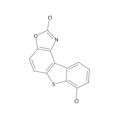 Clc1nc2c(ccc3sc4c(Cl)cccc4c32)o1